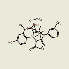 CCC(c1cc(C#N)ccc1[C@@H]1C(C(=O)OC)=C(C)N(c2cccc(C(F)(F)F)c2)c2n[nH]c(=O)n21)C1CC1[N+](C)(C)C.O=C[O-]